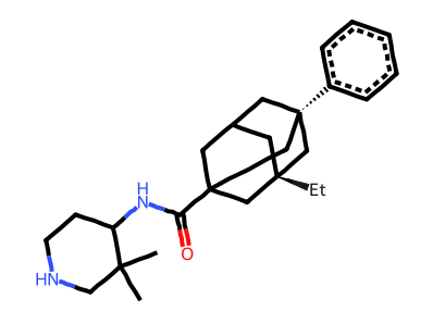 CC[C@]12CC3CC(C(=O)NC4CCNCC4(C)C)(C1)C[C@@](c1ccccc1)(C3)C2